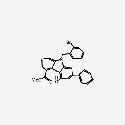 COC(=O)c1cccc2c1c1c(O)cc(-c3ccccc3)cc1n2Cc1ccccc1Br